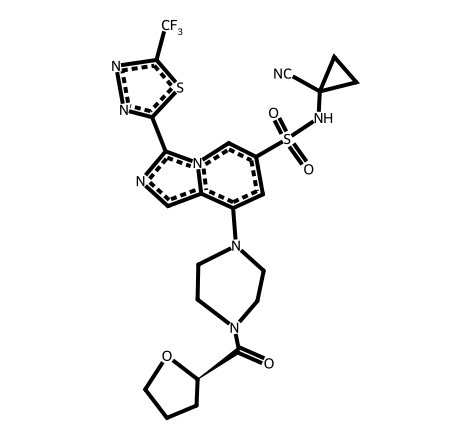 N#CC1(NS(=O)(=O)c2cc(N3CCN(C(=O)[C@H]4CCCO4)CC3)c3cnc(-c4nnc(C(F)(F)F)s4)n3c2)CC1